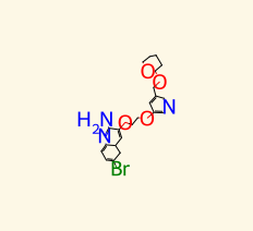 NC1=NC2=CC=C(Br)CC2C=C1OCCOc1cncc(COC2CCCCO2)c1